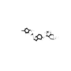 Cc1ccc(F)c(NC(=O)n2ccc3cc(Oc4ncnc5c4CCNC5)ccc32)c1